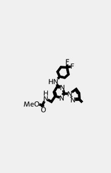 COC(=O)NCc1cc(NC2CCC(F)(F)CC2)nc(-n2ccc(C)n2)n1